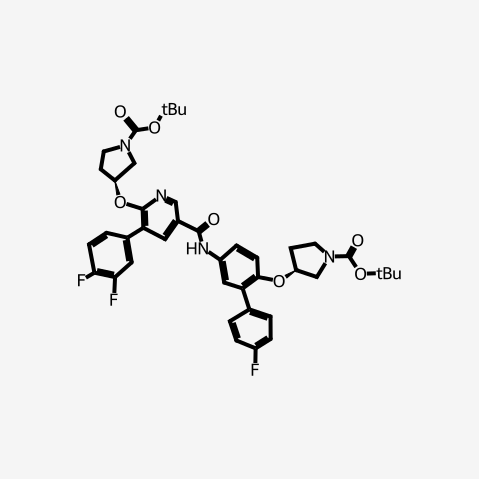 CC(C)(C)OC(=O)N1CC[C@H](Oc2ccc(NC(=O)c3cnc(O[C@H]4CCN(C(=O)OC(C)(C)C)C4)c(-c4ccc(F)c(F)c4)c3)cc2-c2ccc(F)cc2)C1